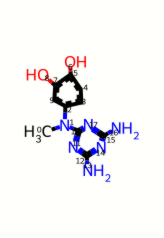 CN(c1ccc(O)c(O)c1)c1nc(N)nc(N)n1